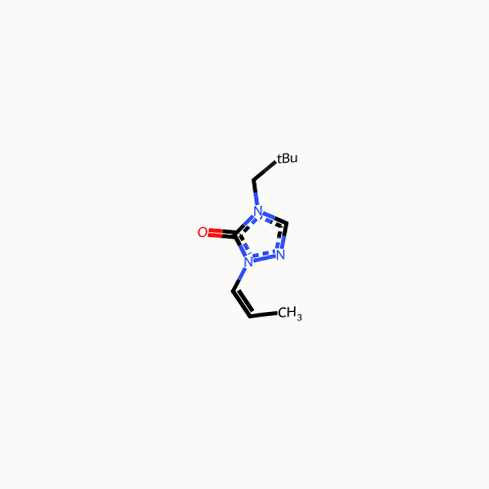 C/C=C\n1ncn(CC(C)(C)C)c1=O